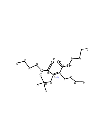 CCCCOC(=O)/C(CCCC)=C(/CC(C)(C)C)C(=O)OCCCC